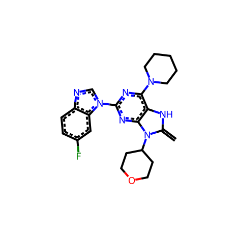 C=C1Nc2c(N3CCCCC3)nc(-n3cnc4ccc(F)cc43)nc2N1C1CCOCC1